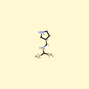 CC(C)NC[C@@H]1CCNC1